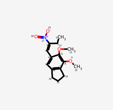 CCC(=Cc1cc2c(c(OC)c1OC)CCC2)[N+](=O)[O-]